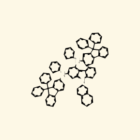 c1ccc(N(c2ccc3c(c2)C(c2ccccc2)(c2ccccc2)c2ccccc2-3)c2cc(N(c3ccccc3)c3ccc4c(c3)C(c3ccccc3)(c3ccccc3)c3ccccc3-4)c3c4ccccc4n(-c4ccc5ccccc5c4)c3c2)cc1